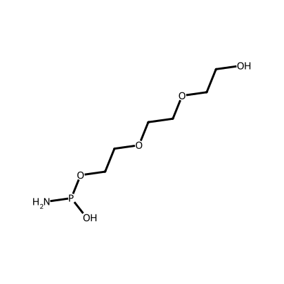 NP(O)OCCOCCOCCO